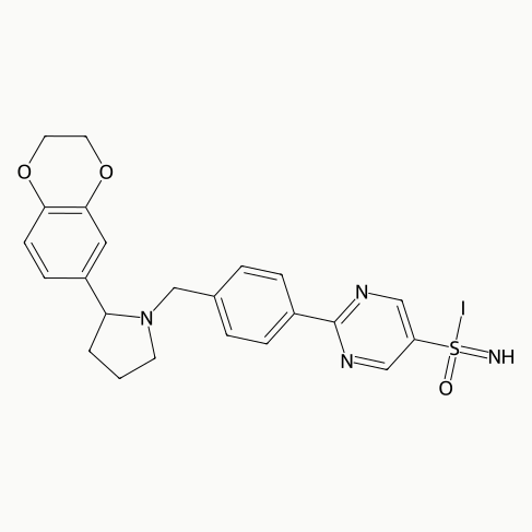 N=S(=O)(I)c1cnc(-c2ccc(CN3CCCC3c3ccc4c(c3)OCCO4)cc2)nc1